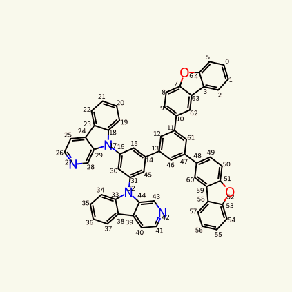 c1ccc2c(c1)oc1ccc(-c3cc(-c4cc(-n5c6ccccc6c6ccncc65)cc(-n5c6ccccc6c6ccncc65)c4)cc(-c4ccc5oc6ccccc6c5c4)c3)cc12